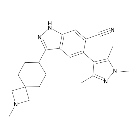 Cc1nn(C)c(C)c1-c1cc2c(C3CCC4(CC3)CN(C)C4)n[nH]c2cc1C#N